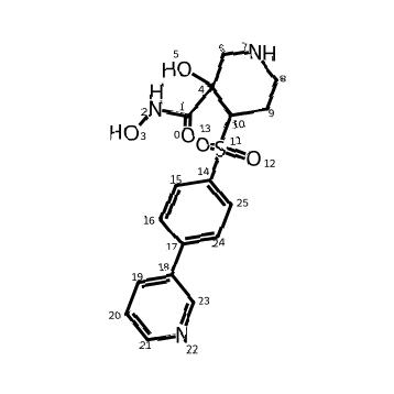 O=C(NO)C1(O)CNCCC1S(=O)(=O)c1ccc(-c2cccnc2)cc1